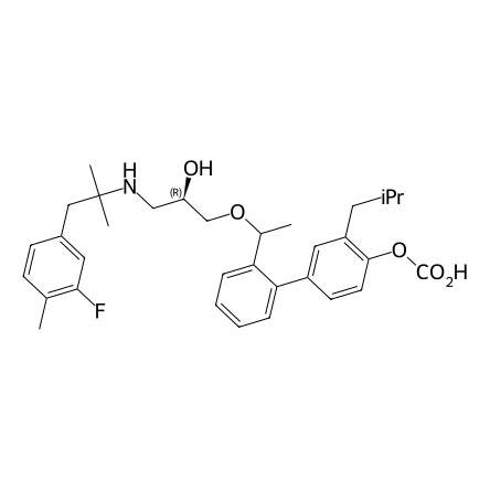 Cc1ccc(CC(C)(C)NC[C@@H](O)COC(C)c2ccccc2-c2ccc(OC(=O)O)c(CC(C)C)c2)cc1F